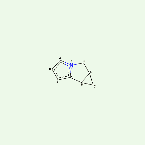 c1cc2n(c1)CC1CC21